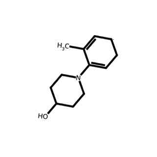 CC1=C[CH]CC=C1N1CCC(O)CC1